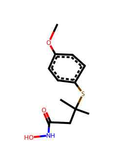 COc1ccc(SC(C)(C)CC(=O)NO)cc1